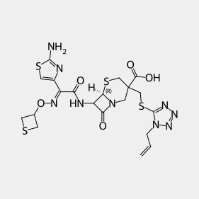 C=CCn1nnnc1SCC1(C(=O)O)CS[C@@H]2C(NC(=O)C(=NOC3CSC3)c3csc(N)n3)C(=O)N2C1